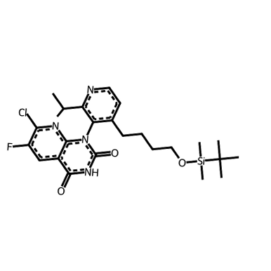 CC(C)c1nccc(CCCCO[Si](C)(C)C(C)(C)C)c1-n1c(=O)[nH]c(=O)c2cc(F)c(Cl)nc21